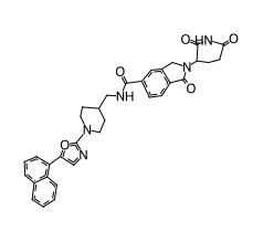 O=C1CCC(N2Cc3cc(C(=O)NCC4CCN(c5ncc(-c6cccc7ccccc67)o5)CC4)ccc3C2=O)C(=O)N1